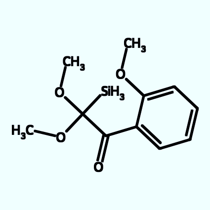 COc1ccccc1C(=O)C([SiH3])(OC)OC